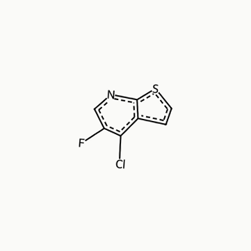 Fc1cnc2sccc2c1Cl